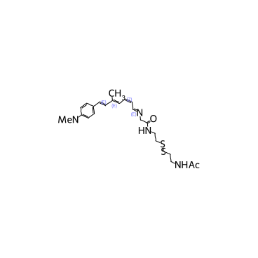 CNc1ccc(/C=C/C(C)=C/C=C\C=N\CC(=O)NCCSSCCNC(C)=O)cc1